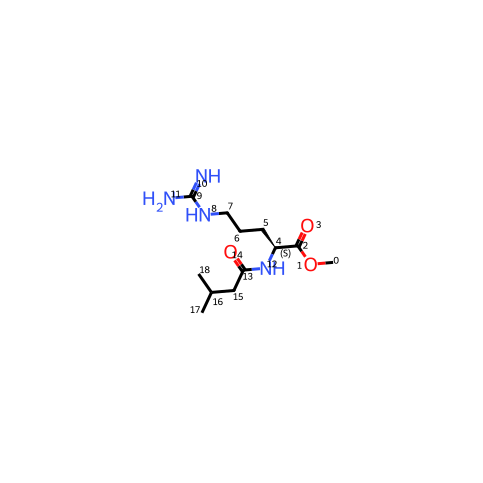 COC(=O)[C@H](CCCNC(=N)N)NC(=O)CC(C)C